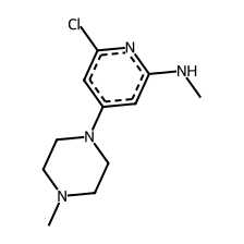 CNc1cc(N2CCN(C)CC2)cc(Cl)n1